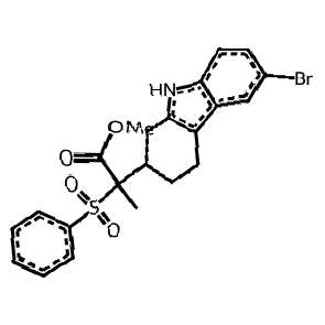 COC(=O)C(C)(C1CCc2c([nH]c3ccc(Br)cc23)C1)S(=O)(=O)c1ccccc1